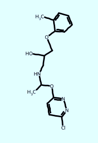 Cc1ccccc1OCC(O)CNC(C)Oc1ccc(Cl)nn1